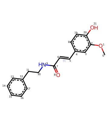 COc1cc(/C=C/C(=O)NCCc2ccccc2)ccc1O